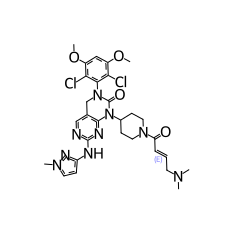 COc1cc(OC)c(Cl)c(N2Cc3cnc(Nc4ccn(C)n4)nc3N(C3CCN(C(=O)/C=C/CN(C)C)CC3)C2=O)c1Cl